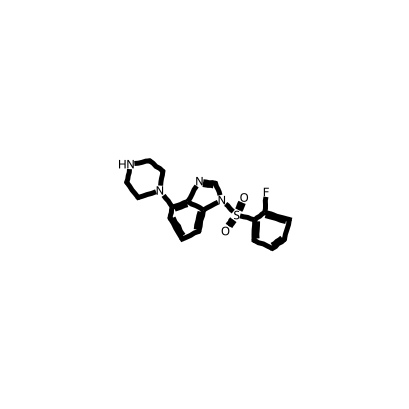 O=S(=O)(c1ccccc1F)n1cnc2c(N3CCNCC3)cccc21